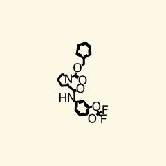 O=C(Nc1ccc2c(c1)OC(F)(F)O2)C1CCCN1C(=O)OCc1ccccc1